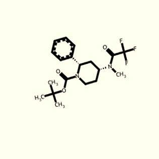 CN(C(=O)C(F)(F)F)[C@@H]1CCN(C(=O)OC(C)(C)C)[C@H](c2ccccc2)C1